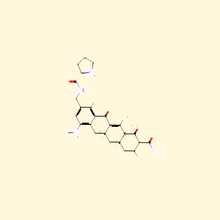 CN(C)c1cc(CNC(=O)[C@@H]2CCCN2C)c(O)c2c1C[C@H]1C[C@H]3CC(O)C(C(N)=O)C(=O)[C@@]3(O)C(O)=C1C2=O